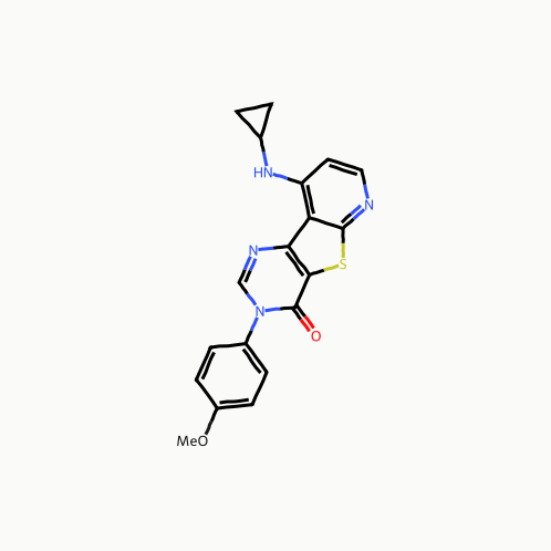 COc1ccc(-n2cnc3c(sc4nccc(NC5CC5)c43)c2=O)cc1